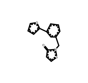 O=c1ccsn1Cc1cccc(-c2ccco2)c1